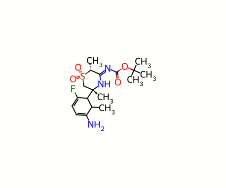 CC1C(N)=CC=C(F)C1[C@]1(C)CS(=O)(=O)[C@H](C)/C(=N/C(=O)OC(C)(C)C)N1